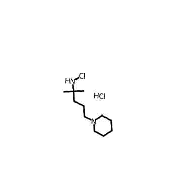 CC(C)(CCCN1CCCCC1)NCl.Cl